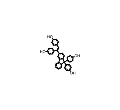 Oc1ccc(/C=C(\c2ccc(O)cc2)c2ccc3c(c2)-c2ccccc2C3(c2ccc(O)cc2)c2ccc(O)cc2)cc1